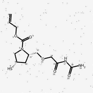 C=CCOC(=O)N1C[C@@H](S)C[C@H]1COCC(=O)NC(N)=O